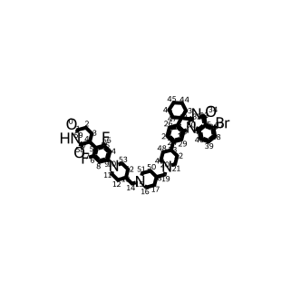 O=C1CCC(c2c(F)cc(N3CCC(CN4CCC(CN5CCC(c6ccc7c(c6)-n6c(nc(=O)c8c(Br)cccc86)C76CCCCC6)CC5)CC4)CC3)cc2F)C(=O)N1